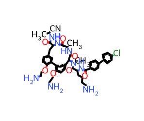 CC(C#N)NC(=O)C1Cc2ccc(OCCN)c(c2)-c2cc(ccc2OCCN)C(N(C)C(=O)C(CCCCN)NC(=O)c2ccc(-c3ccc(Cl)cc3)cc2)C(=O)NC(C)C(=O)N1